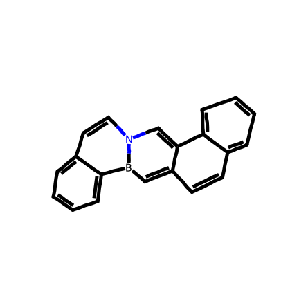 C1=CN2C=c3c(ccc4ccccc34)=CB2c2ccccc21